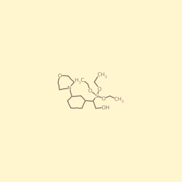 CCO[Si](OCC)(OCC)C(CO)C1CCCC(N2CCOCC2)C1